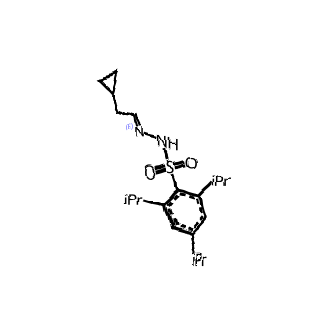 CC(C)c1cc(C(C)C)c(S(=O)(=O)N/N=C/CC2CC2)c(C(C)C)c1